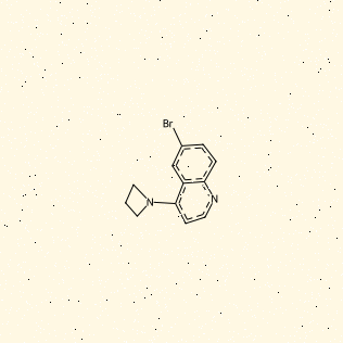 Brc1ccc2nccc(N3CCC3)c2c1